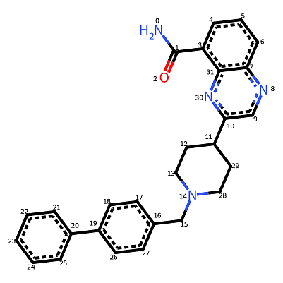 NC(=O)c1cccc2ncc(C3CCN(Cc4ccc(-c5ccccc5)cc4)CC3)nc12